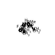 COc1cc(C(=O)NCCN(C)C)c(F)cc1Nc1ncc(C(F)(F)F)c(O[C@@H]2Cc3ccccc3[C@H]2N(C)S(C)(=O)=O)n1